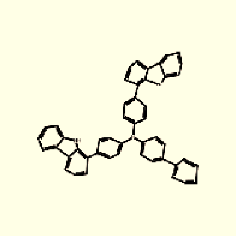 c1ccc(-c2ccc(N(c3ccc(-c4cccc5c4[nH]c4ccccc45)cc3)c3ccc(-c4cccc5c4sc4ccccc45)cc3)cc2)cc1